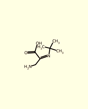 CC(C)(C)/N=C(/CN)C(=O)O